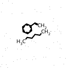 C=Cc1ccccc1.[CH2]CCCCC